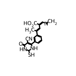 C=N/C=C(\C=C(/C)c1cccc(C2=C(C#N)C(=O)NC(S)N2)c1)C(=O)O